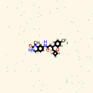 CN1C(=O)NCc2ccc(NC(=O)/C=C3\CC4(CCC4)Oc4cc(C(F)(F)F)ccc43)cc21